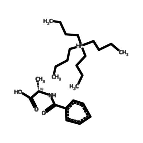 CCCC[PH](CCCC)(CCCC)CCCC.C[C@H](NC(=O)c1ccccc1)C(=O)O